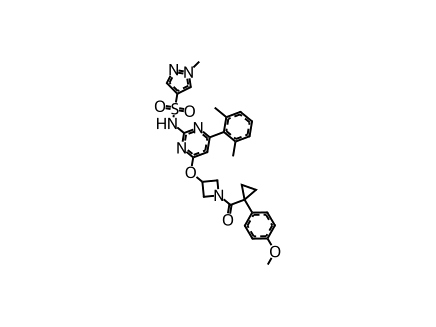 COc1ccc(C2(C(=O)N3CC(Oc4cc(-c5c(C)cccc5C)nc(NS(=O)(=O)c5cnn(C)c5)n4)C3)CC2)cc1